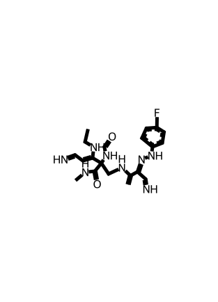 C=C(NCC(NC=O)(C(=O)NC)/C(=C/C=N)NCC)/C(C=N)=N/Nc1ccc(F)cc1